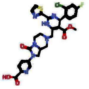 COC(=O)C1=C(CN2CCN3C(=O)N(c4ccc(C(=O)O)nc4)CC3C2)NC(c2nccs2)=N[C@H]1c1ccc(F)cc1Cl